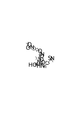 Cc1ncsc1-c1ccc([C@H](C)NC(=O)[C@@H]2C[C@@H](O)CN2C(=O)[C@@H](c2cc(OC3CC4(CCN(C(=O)OC(C)(C)C)CC4)C3)no2)C(C)C)cc1